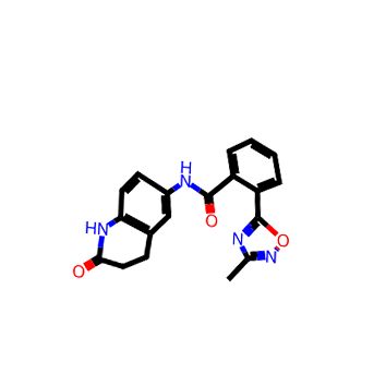 Cc1noc(-c2ccccc2C(=O)Nc2ccc3c(c2)CCC(=O)N3)n1